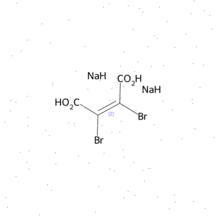 O=C(O)/C(Br)=C(/Br)C(=O)O.[NaH].[NaH]